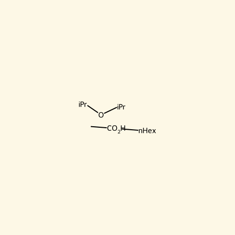 CC(=O)O.CC(C)OC(C)C.CCCCCCC